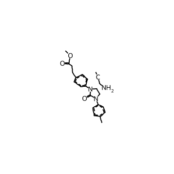 CCCN.COC(=O)CCc1ccc(N2CCN(c3ccc(C)cc3)C2=O)cc1